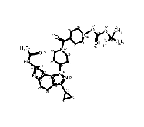 CC(=O)Nc1nc2c(s1)-c1c(c(C3CC3)nn1C1CCN(C(=O)C3CCN(OC(=O)OC(C)(C)C)CC3)CC1)CC2